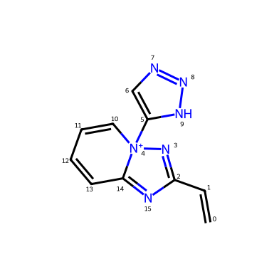 C=CC1=N[N+]2(c3cnn[nH]3)C=CC=CC2=N1